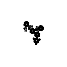 CNc1ccccc1NOc1ccc2c3cc(-c4c(C)cc(C)cc4C)ccc3n3c4ccccc4nc3c2c1